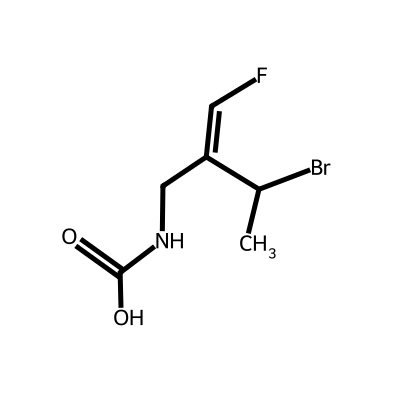 CC(Br)/C(=C\F)CNC(=O)O